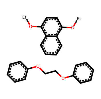 CCOc1ccc(OCC)c2ccccc12.c1ccc(OCCOc2ccccc2)cc1